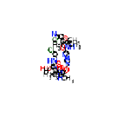 CC(C)C[C@H](OCCN1CCN(c2ccc(C(=O)NC3C(C)(C)C(Oc4ccc(C#N)c(Cl)c4)C3(C)C)cn2)CC1)C(=O)N[C@H](C(=O)N1C[C@H](O)C[C@H]1C(=O)NCc1ccc(Cl)cc1)C(C)(C)C